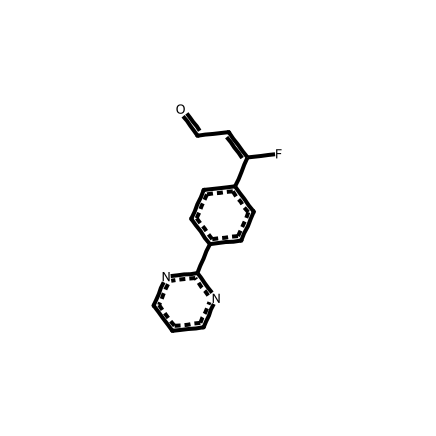 O=C/C=C(/F)c1ccc(-c2ncccn2)cc1